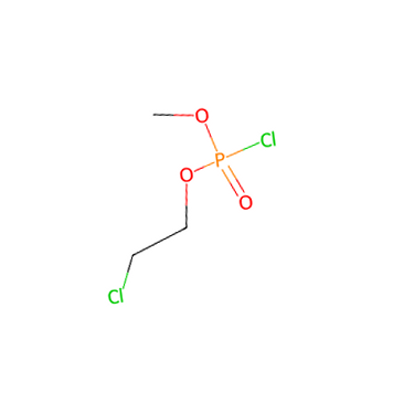 COP(=O)(Cl)OCCCl